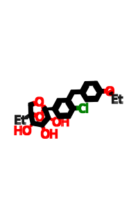 CCOc1ccc(Cc2cc([C@]34OC[C@](CC)(O3)[C@@H](O)[C@H](O)[C@H]4O)ccc2Cl)cc1